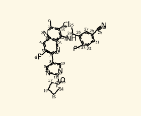 Cc1nc2cc(F)c(-c3cnc(P4(=O)CCCC4)nc3)nc2c(NC(C)c2cc(C#N)ccc2F)c1Cl